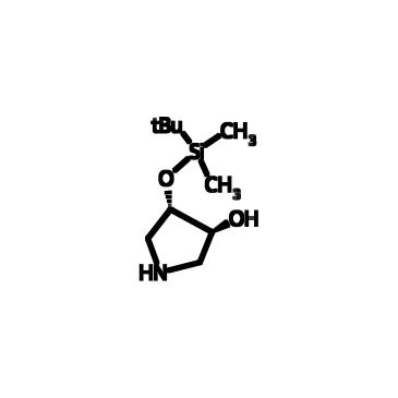 CC(C)(C)[Si](C)(C)O[C@H]1CNC[C@@H]1O